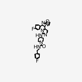 O=C(NCCc1ccc(F)cc1)N1CCC(Nc2nccc(C3C(c4ccc(F)cc4)N=C4OC=CN43)n2)CC1